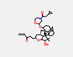 CNC(=O)CCC1C[C@@H](C)C2C(O1)[C@H](O)C(C)(C)C2(C)CCC12CCC[C@H]3C(C)(C)C(OC4CN(C(=O)CC5CC5)CCO4)CCC31C2